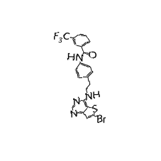 O=C(Nc1ccc(CCNc2ncnc3cc(Br)sc23)cc1)c1cccc(C(F)(F)F)c1